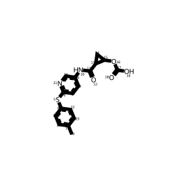 Cc1ccc(Sc2ccc(NC(=O)C3CC3OC(=O)O)cn2)cc1